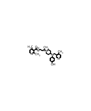 Cc1ccncc1CN(c1ccc(O)cc1)C1CCN([C@H](C)CCNC(=O)c2c(C)ccnc2C)CC1